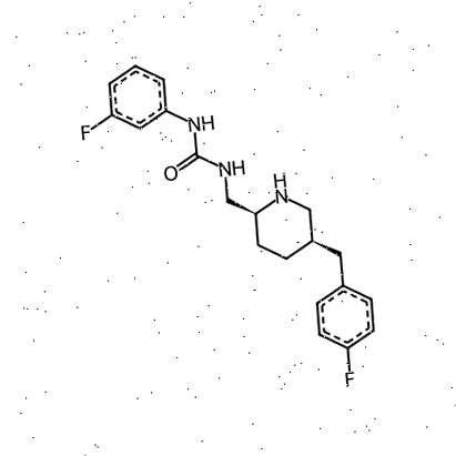 O=C(NC[C@@H]1CC[C@H](Cc2ccc(F)cc2)CN1)Nc1cccc(F)c1